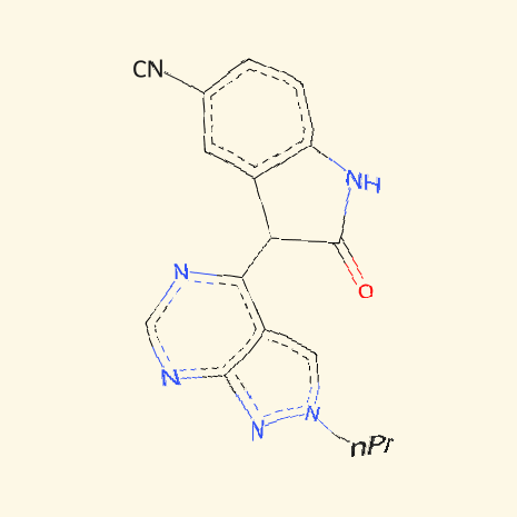 [C-]#[N+]c1ccc2c(c1)C(c1ncnc3nn(CCC)cc13)C(=O)N2